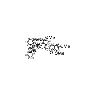 COc1cc(OC)c2c(=O)c(OCCCSc3nc4ccccc4n3S(=O)(=O)c3ccccc3)c(-c3cc(OC)c(OC)c(OC)c3)oc2c1